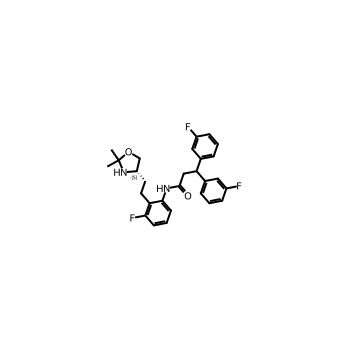 CC1(C)N[C@@H](CCc2c(F)cccc2NC(=O)CC(c2cccc(F)c2)c2cccc(F)c2)CO1